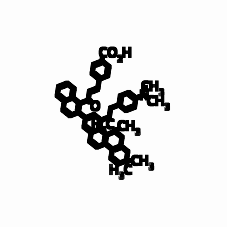 CN(C)c1ccc(CCc2cc(-c3ccc4ccccc4c3C(=O)C=Cc3ccc(C(=O)O)cc3)cc3ccc4c(c23)C(C)(C)CC2=C4C=CC(C)(C)C2)cc1